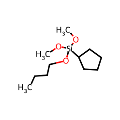 CCCCO[Si](OC)(OC)C1CCCC1